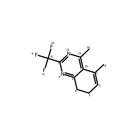 CC1=CCCc2nc(C(F)(F)F)nc(C)c21